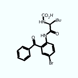 CCC(C)C(NC(=O)O)C(=O)Nc1ccc(Br)cc1C(=O)c1ccccc1